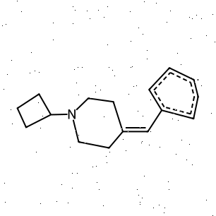 [c]1ccc(C=C2CCN(C3CCC3)CC2)cc1